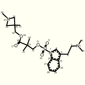 CN(C)CCc1cn(S(=O)(=O)OCC(C)(C)C(=O)OCC2(C)CN(C)C2)c2ccccc12